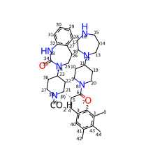 Cc1cc(CC(C(=O)N2CCC(N3CCCNCC3)CC2)[C@H]2CC(N3CCc4ccccc4NC3=O)CCN2C(=O)O)cc(C)c1C